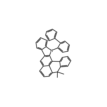 CC1(C)c2ccccc2-c2c3c1cccc3cc1c3ccccc3n(-c3ccccc3-c3ccccc3)c21